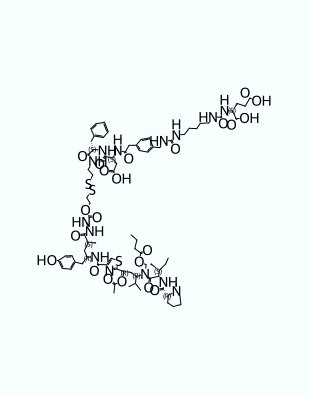 CCCC(=O)OCN(C(=O)C(NC(=O)[C@H]1CCCCN1C)[C@@H](C)CC)[C@H](C[C@@H](OC(C)=O)c1nc(C(=O)N[C@@H](Cc2ccc(O)cc2)C[C@H](C)C(=O)NNC(=O)OCCSSCCNC(=O)[C@H](Cc2ccccc2)NC(=O)[C@H](CC(=O)O)NC(=O)Cc2ccc(CNC(=O)NCCCCCNC(=O)N[C@@H](CCC(=O)O)C(=O)O)cc2)cs1)C(C)C